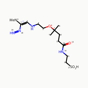 CN/C(=C/NCCOC(C)(C)CCC(=O)NCCS(=O)(=O)O)N=N